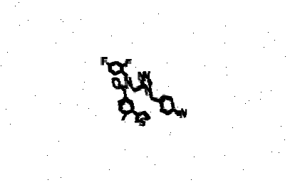 Cc1ccc(C(=O)N(Cc2ccc(F)cc2F)Cc2nncn2Cc2ccc(C#N)cc2)cc1-c1ccsc1